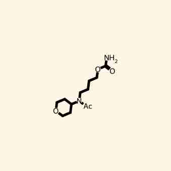 CC(=O)N(CCCCOC(N)=O)C1CCOCC1